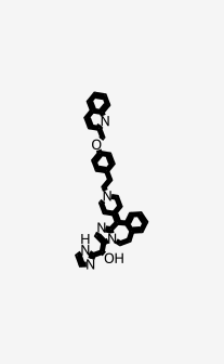 OC(c1ncc[nH]1)c1cnc2n1CCc1ccccc1C2=C1CCN(CCc2ccc(OCc3ccc4ccccc4n3)cc2)CC1